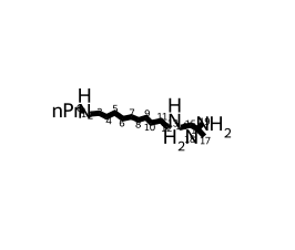 CCCNCCCCCCCCCCCNCCC(C)(N)N